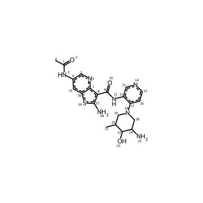 CC(=O)Nc1cnc2c(C(=O)Nc3cnccc3N3CC(C)C(O)C(N)C3)c(N)sc2c1